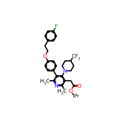 Cc1nc(C)c(-c2ccc(OCCc3ccc(F)cc3)cc2)c(N2CCC(C(F)(F)F)CC2)c1CC(=O)OC(C)C